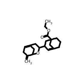 C=C1CC=C2CC1OC(C1C=C3CCCC(C(=O)OCC)(C3)C1)C2